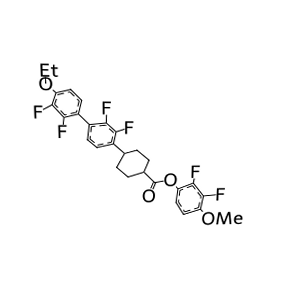 CCOc1ccc(-c2ccc(C3CCC(C(=O)Oc4ccc(OC)c(F)c4F)CC3)c(F)c2F)c(F)c1F